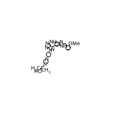 COc1ccccc1Cc1nc2ccc(-c3nn([C@H]4CC[C@H](N5CCN(CCC(C)(C)O)CC5)CC4)c4ncnc(N)c34)cc2[nH]1